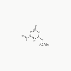 C=Cc1cc(C)cc(COC)c1